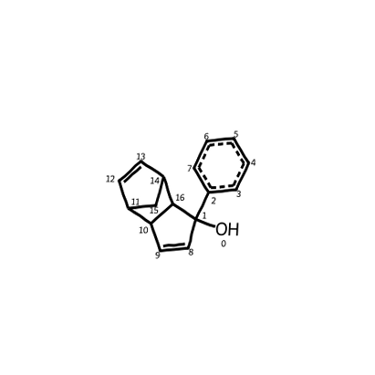 OC1(c2ccccc2)C=CC2C3C=CC(C3)C21